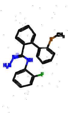 CSc1ccccc1-c1ccccc1/C(=N/N)Nc1ccccc1F